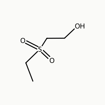 CCS(=O)(=O)CCO